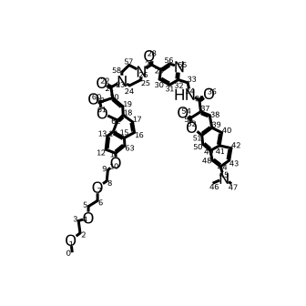 COCCOCCOCCOc1ccc2c(ccc3cc(C(=O)N4CCN(C(=O)c5ccc(CNC(=O)c6cc7cc8ccc(N(C)C)cc8cc7oc6=O)nc5)CC4)c(=O)oc32)c1